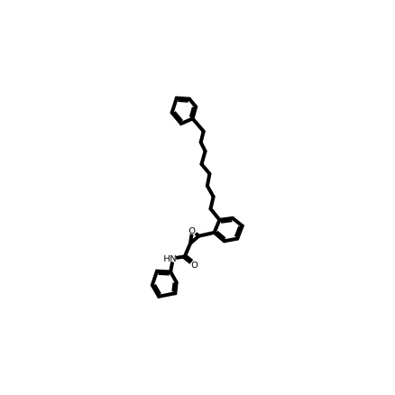 O=C(Nc1ccccc1)C1OC1c1ccccc1CCCCCCCCc1ccccc1